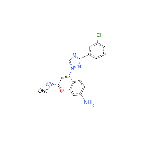 Nc1ccc(/C(=C\C(=O)NC=O)n2cnc(-c3cccc(Cl)c3)n2)cc1